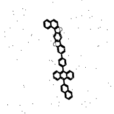 c1ccc2cc(-c3c4ccccc4c(-c4ccc(-c5ccc6c(c5)oc5cc7c(cc56)oc5ccc6ccccc6c57)cc4)c4ccccc34)ccc2c1